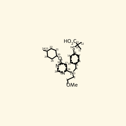 COCCN(Cc1ccc(SC(C)(C)C(=O)O)cc1)c1cc(OC2CCC(C)CC2)ncn1